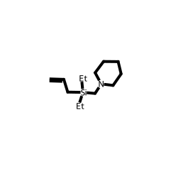 C=CC[Si](CC)(CC)CN1CCCCC1